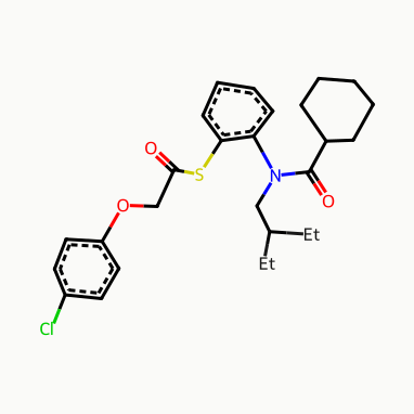 CCC(CC)CN(C(=O)C1CCCCC1)c1ccccc1SC(=O)COc1ccc(Cl)cc1